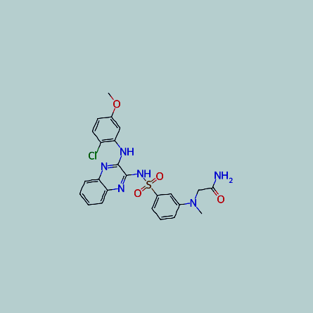 COc1ccc(Cl)c(Nc2nc3ccccc3nc2NS(=O)(=O)c2cccc(N(C)CC(N)=O)c2)c1